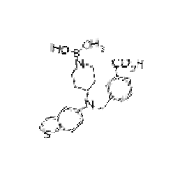 CB(O)N1CCC(N(Cc2cccc(C(=O)O)c2)c2ccc3sccc3c2)CC1